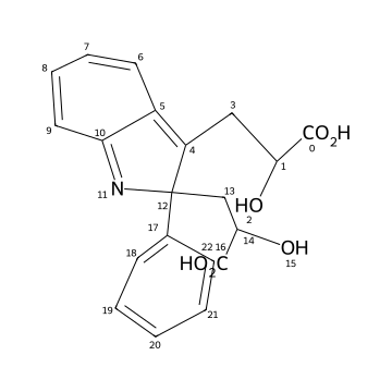 O=C(O)C(O)CC1=c2ccccc2=NC1(CC(O)C(=O)O)c1ccccc1